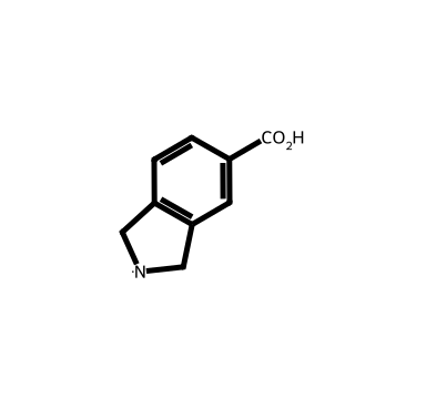 O=C(O)c1ccc2c(c1)C[N]C2